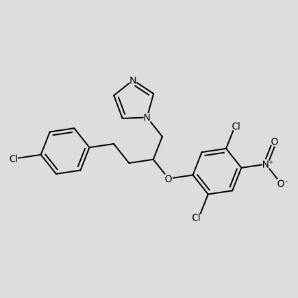 O=[N+]([O-])c1cc(Cl)c(OC(CCc2ccc(Cl)cc2)Cn2ccnc2)cc1Cl